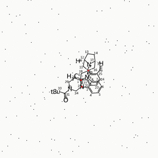 Cc1nc2ccccc2n1[C@H]1C[C@H]2CC[C@@H](C1)N2CCC1(c2cccc(F)c2)CCN(C(=O)C(C)(C)C)CC1